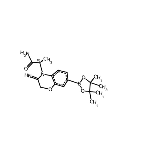 C[C@H](C(N)=O)N1C(=N)COc2cc(B3OC(C)(C)C(C)(C)O3)ccc21